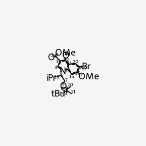 COC(=O)c1cn(C(CO[Si](C)(C)C(C)(C)C)C(C)C)c2cc(OC)c(Br)cc2c1=O